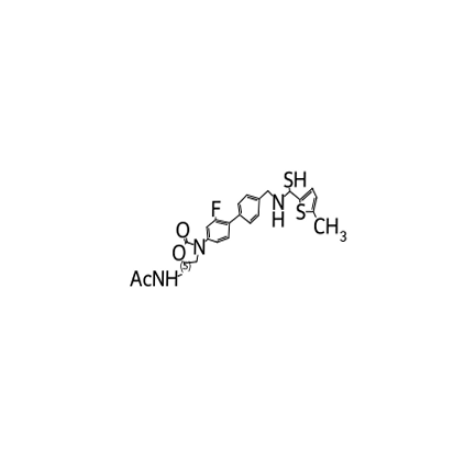 CC(=O)NC[C@H]1CN(c2ccc(-c3ccc(CNC(S)c4ccc(C)s4)cc3)c(F)c2)C(=O)O1